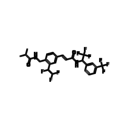 CC(C)C(=O)NCc1ccc(C=CC(=O)NC(c2cccc(C(F)(F)F)c2)C(F)(F)F)cc1C(F)C(F)F